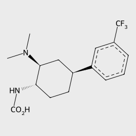 CN(C)[C@H]1C[C@@H](c2cccc(C(F)(F)F)c2)CC[C@@H]1NC(=O)O